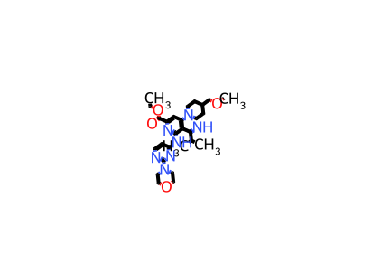 CCOC(=O)c1cc(N2CCC(COC)CC2)c(C(=N)C(C)C)c(Nc2ccnc(N3CCOCC3)n2)n1